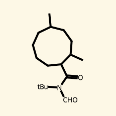 CC1CCCCC(C(=O)N(C=O)C(C)(C)C)C(C)CC1